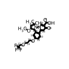 COC1CC(C)(C)N2C1c1cc(OCCCOCC(F)(F)F)ccc1-c1cc(=O)c(C(=O)O)cn12